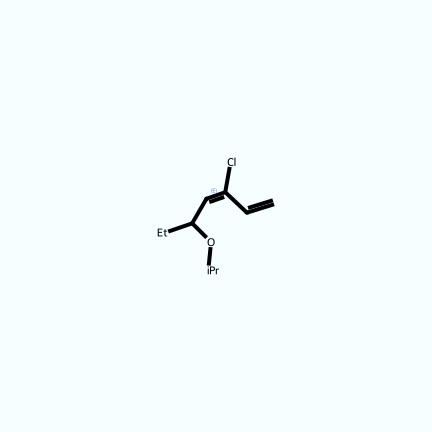 C=C/C(Cl)=C\C(CC)OC(C)C